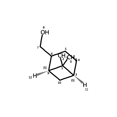 CC1(C)[C@H]2CCC(CO)[C@@H]1C2